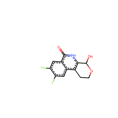 O=c1[nH]c2c(c3cc(F)c(F)cc13)CCOC2O